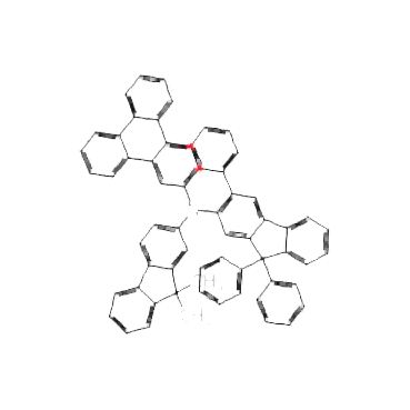 CC1(C)c2ccccc2-c2ccc(N(c3ccc4c5ccccc5c5ccccc5c4c3)c3cc4c(cc3-c3ccccc3)-c3ccccc3C4(c3ccccc3)c3ccccc3)cc21